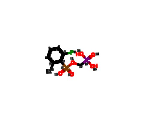 CCc1cccc(F)c1S(=O)(=O)OCP(=O)(O)O